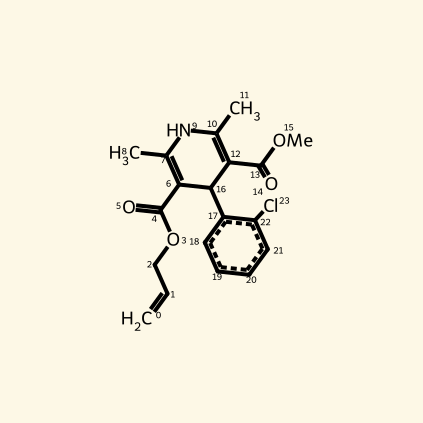 C=CCOC(=O)C1=C(C)NC(C)=C(C(=O)OC)C1c1ccccc1Cl